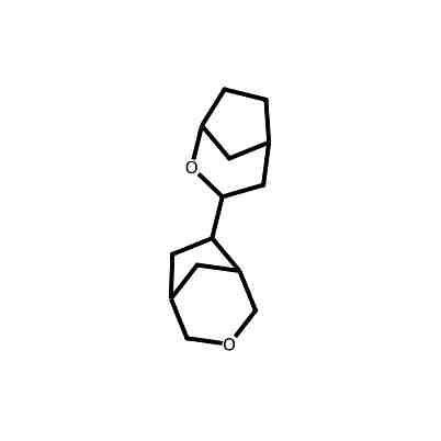 C1CC2CC1CC(C1CC3COCC1C3)O2